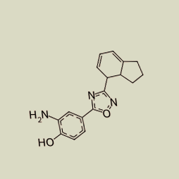 Nc1cc(-c2nc(C3C=CC=C4CCCC43)no2)ccc1O